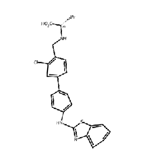 CC(C)[C@H](NCc1ccc(-c2ccc(Nc3nc4ccccc4s3)cc2)cc1Cl)C(=O)O